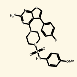 COc1ccc(NS(=O)(=O)N2CCN(c3nc(N)nc4scc(-c5ccc(F)cc5)c34)CC2)cc1